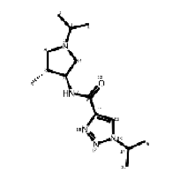 CC(C)N1C[C@@H](C)[C@H](NC(=O)c2cn(C(C)C)nn2)C1